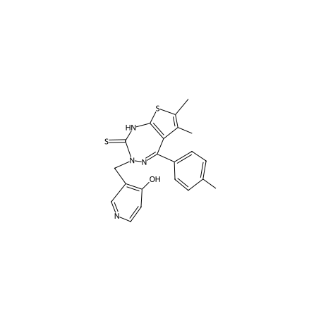 Cc1ccc(C2=NN(Cc3cnccc3O)C(=S)Nc3sc(C)c(C)c32)cc1